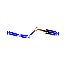 N#CS[N+]=[N+]=[N-]